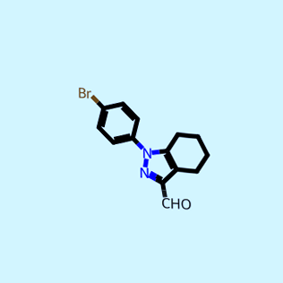 O=Cc1nn(-c2ccc(Br)cc2)c2c1CCCC2